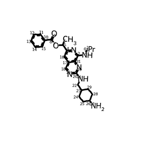 CC(C)Nc1nc(C(C)OC(=O)c2ccccc2)cc2cnc(NCC3CCC(N)CC3)nc12